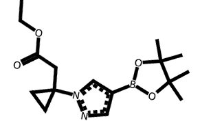 CCOC(=O)CC1(n2cc(B3OC(C)(C)C(C)(C)O3)cn2)CC1